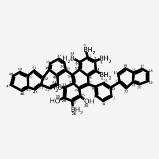 Bc1c(B)c(B)c2c(-c3cccc(-c4ccc5ccccc5c4)c3)c3c(O)c(B)c(O)c(B)c3c(-c3cccc4c3ccc3cc5ccccc5cc34)c2c1B